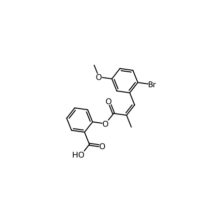 COc1ccc(Br)c(C=C(C)C(=O)Oc2ccccc2C(=O)O)c1